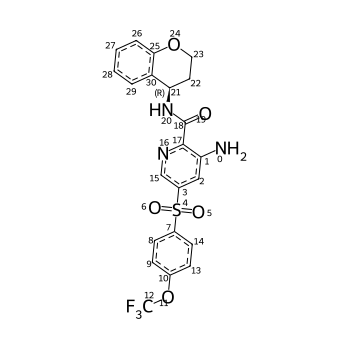 Nc1cc(S(=O)(=O)c2ccc(OC(F)(F)F)cc2)cnc1C(=O)N[C@@H]1CCOc2ccccc21